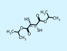 CC(C)OC(=O)[C@@H](S)[C@@H](S)C(=O)OC(C)C